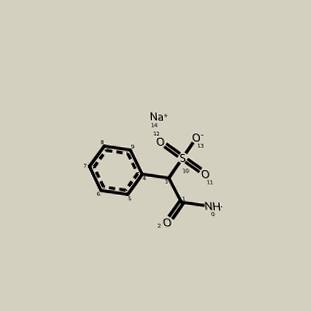 [NH]C(=O)C(c1ccccc1)S(=O)(=O)[O-].[Na+]